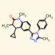 Cc1ccc(-n2c(C)nnc2-c2ccc3c(c2)C(C2CC2)C(C)C(=O)N3C)cc1